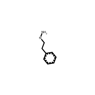 N[N]CCc1ccccc1